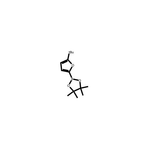 CC(C)(C)c1ccc(B2OC(C)(C)C(C)(C)O2)o1